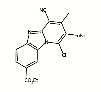 CCCCc1c(C)c(C#N)c2nc3ccc(C(=O)OCC)cc3n2c1Cl